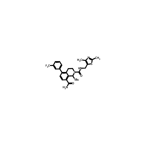 Cc1nc(C)c(CNC(=O)N2CCc3c(-c4cccc(C(F)(F)F)c4)ccc(C(N)=O)c3C2C(C)(C)C)s1